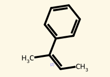 C/C=C(/C)c1ccccc1